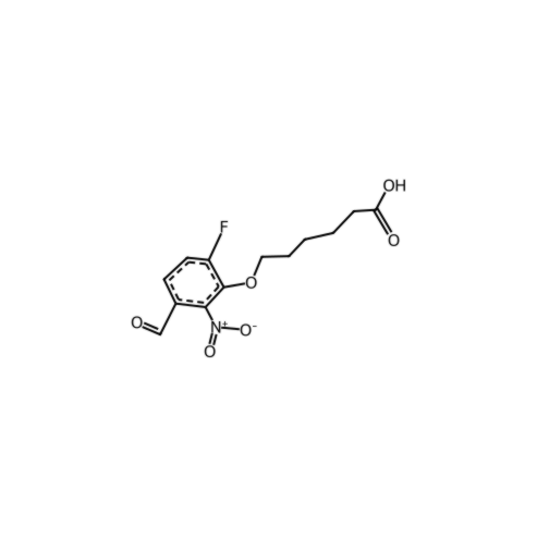 O=Cc1ccc(F)c(OCCCCCC(=O)O)c1[N+](=O)[O-]